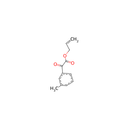 C=CCOC(=O)C(=O)c1cccc(C)c1